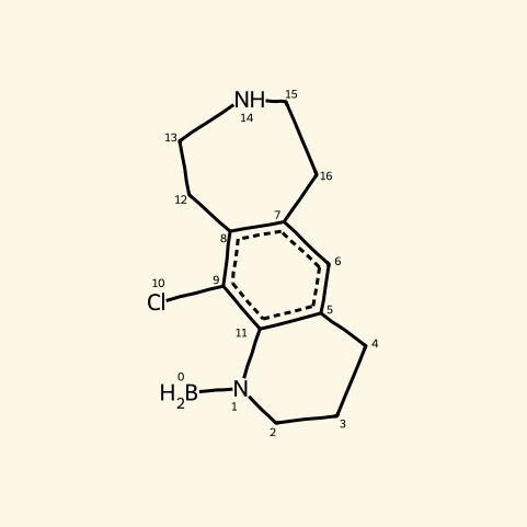 BN1CCCc2cc3c(c(Cl)c21)CCNCC3